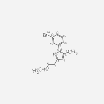 C=NCCc1cc(C)n(-c2cccc(Br)c2)n1